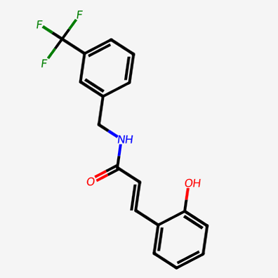 O=C(/C=C/c1ccccc1O)NCc1cccc(C(F)(F)F)c1